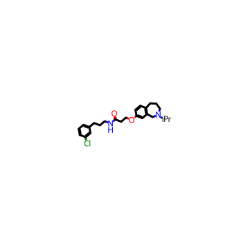 CC(C)N1CCCc2ccc(OCCC(=O)NCCCc3cccc(Cl)c3)cc2C1